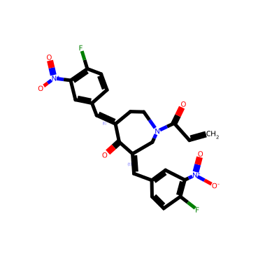 C=CC(=O)N1CC/C(=C\c2ccc(F)c([N+](=O)[O-])c2)C(=O)/C(=C/c2ccc(F)c([N+](=O)[O-])c2)C1